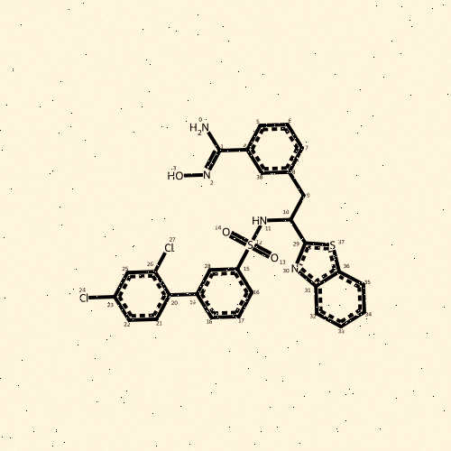 NC(=NO)c1cccc(CC(NS(=O)(=O)c2cccc(-c3ccc(Cl)cc3Cl)c2)c2nc3ccccc3s2)c1